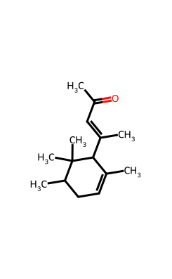 CC(=O)C=C(C)C1C(C)=CCC(C)C1(C)C